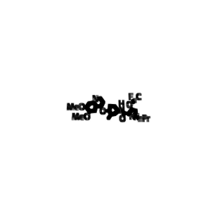 CCCn1cc(OCC(F)(F)F)c(C(=O)Nc2ccc(Oc3ccnc4cc(OC)c(OC)cc34)c(C)c2)n1